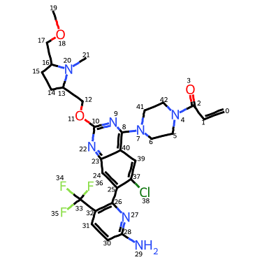 C=CC(=O)N1CCN(c2nc(OCC3CCC(COC)N3C)nc3cc(-c4nc(N)ccc4C(F)(F)F)c(Cl)cc23)CC1